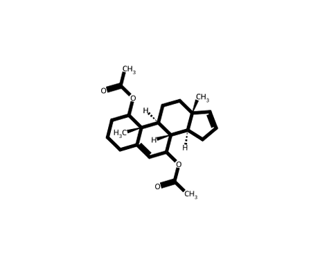 CC(=O)OC1C=C2CCCC(OC(C)=O)[C@]2(C)[C@H]2CC[C@]3(C)C=CC[C@H]3[C@H]12